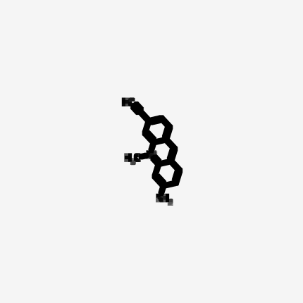 C#Cc1ccc2cc3ccc(N)cc3[n+](C)c2c1